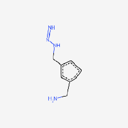 N=NNCc1cccc(CN)c1